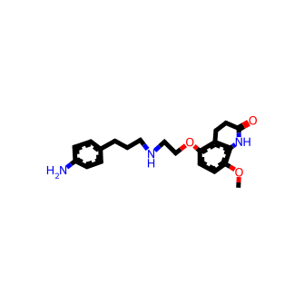 COc1ccc(OCCNCCCc2ccc(N)cc2)c2c1NC(=O)CC2